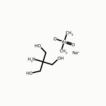 C[As](C)(=O)[O-].NC(CO)(CO)CO.[Na+]